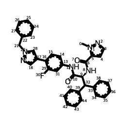 Cn1nccc1C(=O)N[C@H](C(=O)Nc1ccc(-c2cnn(Cc3ccccc3)c2)c(F)c1)C(c1ccccc1)c1ccccc1